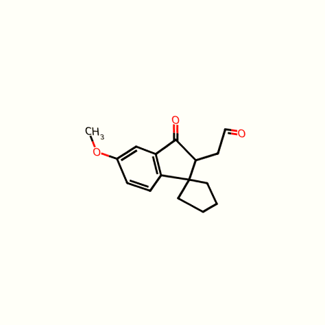 COc1ccc2c(c1)C(=O)C(CC=O)C21CCCC1